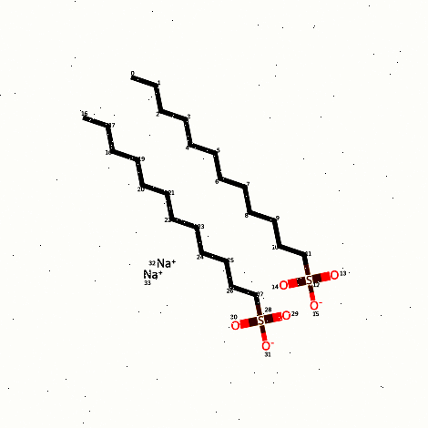 CCCCCCCCCCCCS(=O)(=O)[O-].CCCCCCCCCCCCS(=O)(=O)[O-].[Na+].[Na+]